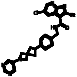 CCc1nc2ncc(Cl)cn2c1C(=O)NCc1ccc(C2CC3(C2)CN(c2cncnc2)C3)cc1